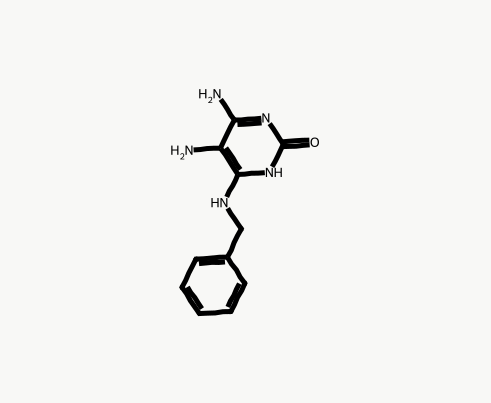 Nc1nc(=O)[nH]c(NCc2ccccc2)c1N